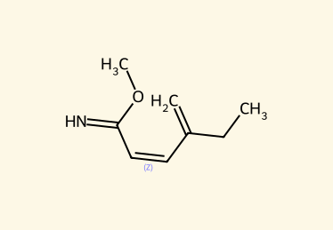 C=C(/C=C\C(=N)OC)CC